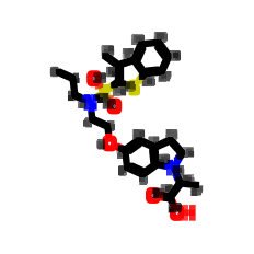 CCCN(CCOc1ccc2c(c1)CCN2C(C)C(=O)O)S(=O)(=O)c1sc2ccccc2c1C